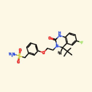 [2H]C1(C(C)(C)C)c2cc(F)ccc2NC(=O)N1CCOc1cccc(CS(N)(=O)=O)c1